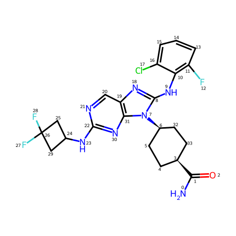 NC(=O)[C@H]1CC[C@@H](n2c(Nc3c(F)cccc3Cl)nc3cnc(NC4CC(F)(F)C4)nc32)CC1